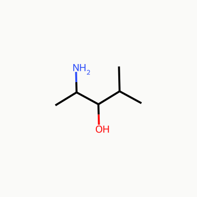 CC(C)C(O)C(C)N